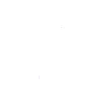 CCC/C=C\CI